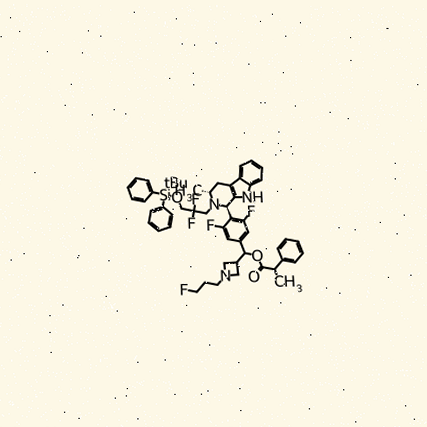 CC(C(=O)OC(c1cc(F)c([C@@H]2c3[nH]c4ccccc4c3C[C@@H](C)N2CC(F)(F)CO[Si](c2ccccc2)(c2ccccc2)C(C)(C)C)c(F)c1)C1CN(CCCF)C1)c1ccccc1